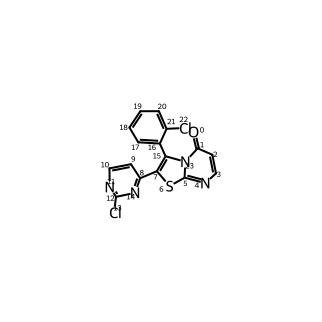 O=c1ccnc2sc(-c3ccnc(Cl)n3)c(-c3ccccc3Cl)n12